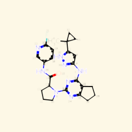 CC1(c2cc(Nc3nc(N4CCCC4C(=O)Nc4ccc(F)nc4)nc4c3CCC4)n[nH]2)CC1